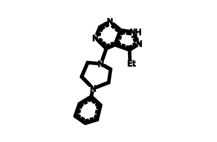 CCc1n[nH]c2ncnc(N3CCN(c4ccccc4)CC3)c12